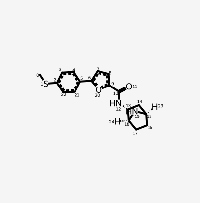 CSc1ccc(-c2ccc(C(=O)N[C@@H]3C[C@H]4CC[C@@H]3N4)o2)cc1